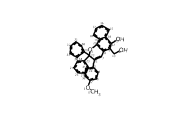 COc1ccc(C2=Cc3c(CO)c(O)c4ccccc4c3OC2(c2ccccc2)c2ccccc2)cc1